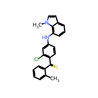 Cc1ccccc1C(=S)c1ccc(Nc2cccc3ccn(C)c23)cc1Cl